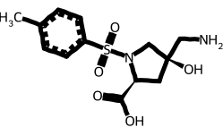 Cc1ccc(S(=O)(=O)N2C[C@](O)(CN)C[C@H]2C(=O)O)cc1